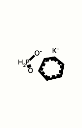 O=[PH2][O-].[K+].c1ccccc1